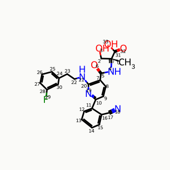 C[C@](CO)(NC(=O)c1ccc(-c2ccccc2C#N)nc1NCCc1cccc(F)c1)C(=O)O